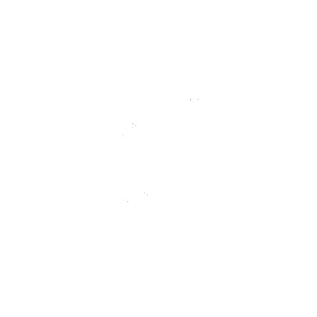 COc1ccc(S(C)(=O)=NC(=O)c2ccc(-c3noc(C(F)(F)F)n3)cc2)cc1